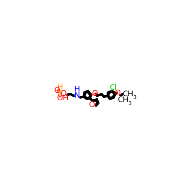 CC(C)Oc1ccc(CCCOc2ccc(CNCCCO[PH](=O)O)cc2-c2ccco2)cc1Cl